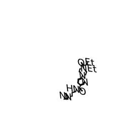 CCC(CC)C(=O)N1CCN(c2ccc(C(=O)NCCCn3ccnc3)cn2)CC1